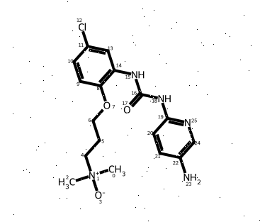 C[N+](C)([O-])CCCOc1ccc(Cl)cc1NC(=O)Nc1ccc(N)cn1